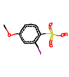 COc1ccc(S(=O)(=O)O)c(I)c1